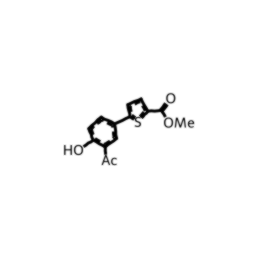 COC(=O)c1ccc(-c2ccc(O)c(C(C)=O)c2)s1